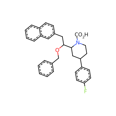 O=C(O)N1CCC(c2ccc(F)cc2)CC1C(Cc1ccc2ccccc2c1)OCc1ccccc1